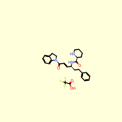 O=C(N[C@H](/C=C/C(=O)N1CCc2ccccc21)CCc1ccccc1)[C@@H]1CCCCN1.O=C(O)C(F)(F)F